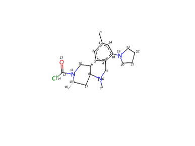 Cc1ccc(CN(C)C2CCN(C(=O)Cl)[C@@H](C)C2)c(N2CCCC2)c1